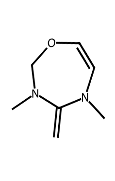 C=C1N(C)C=COCN1C